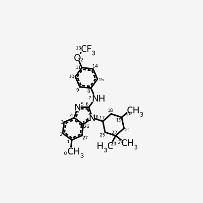 Cc1ccc2nc(Nc3ccc(OC(F)(F)F)cc3)n(C3CC(C)CC(C)(C)C3)c2c1